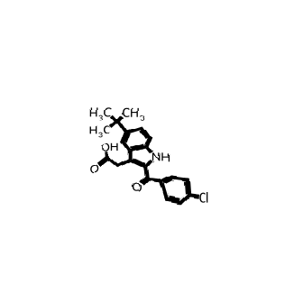 CC(C)(C)c1ccc2[nH]c(C(=O)c3ccc(Cl)cc3)c(CC(=O)O)c2c1